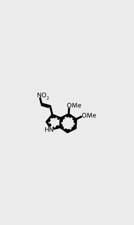 COc1ccc2[nH]cc(/C=C/[N+](=O)[O-])c2c1OC